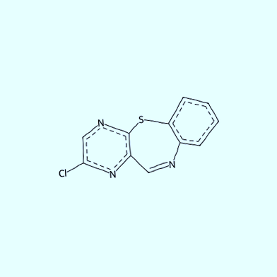 Clc1cnc2c(n1)C=Nc1ccccc1S2